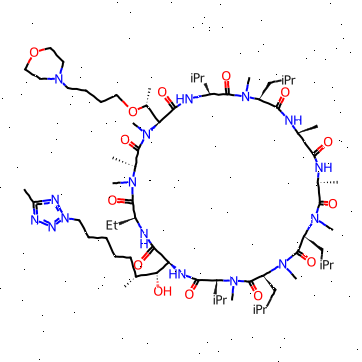 CC[C@@H]1NC(=O)[C@H]([C@H](O)[C@H](C)CCCCCn2nnc(C)n2)NC(=O)[C@H](C(C)C)N(C)C(=O)[C@H](CC(C)C)N(C)C(=O)[C@H](CC(C)C)N(C)C(=O)[C@@H](C)NC(=O)[C@H](C)NC(=O)[C@H](CC(C)C)N(C)C(=O)[C@H](C(C)C)NC(=O)[C@H]([C@@H](C)OCCCCN2CCOCC2)N(C)C(=O)[C@@H](C)N(C)C1=O